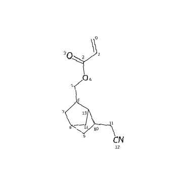 C=CC(=O)OCC1CC2CC(CC#N)C1C2